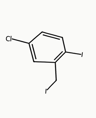 Clc1ccc(I)c(CI)c1